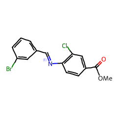 COC(=O)c1ccc(/N=C/c2cccc(Br)c2)c(Cl)c1